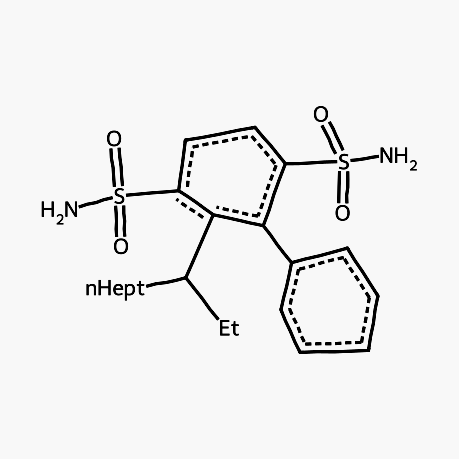 CCCCCCCC(CC)c1c(S(N)(=O)=O)ccc(S(N)(=O)=O)c1-c1ccccc1